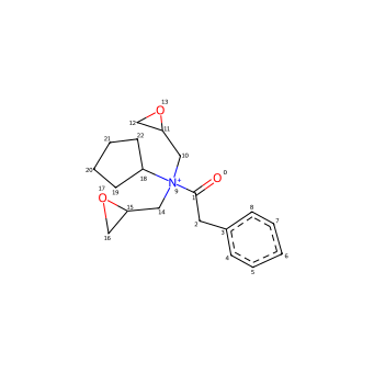 O=C(Cc1ccccc1)[N+](CC1CO1)(CC1CO1)C1CCCC1